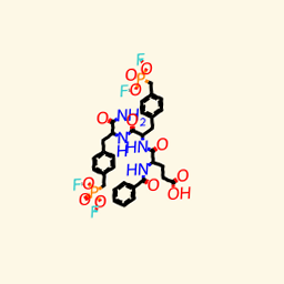 NC(=O)C(Cc1ccc(CP(=O)(OF)OF)cc1)NC(=O)C(Cc1ccc(CP(=O)(OF)OF)cc1)NC(=O)C(CCC(=O)O)NC(=O)c1ccccc1